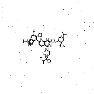 C=C(F)C(=O)N1CCN(c2nc(OCC3CN(C(C)C)C[C@H]3OC)nc3nc(-c4c(Cl)c(F)cc5[nH]ncc45)ccc23)CC1